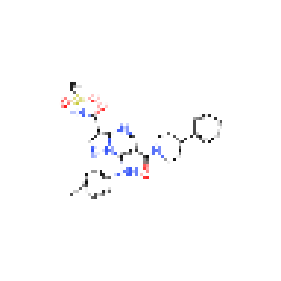 CCS(=O)(=O)NC(=O)c1cnn2c(Nc3ccc(C)cc3)c(C(=O)N3CCC(c4ccccc4)CC3)cnc12